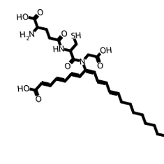 CCCCCCCCCC=CC=CC=C(C=CC=CC=CC(=O)O)N(CC(=O)O)C(=O)C(CS)NC(=O)CCC(N)C(=O)O